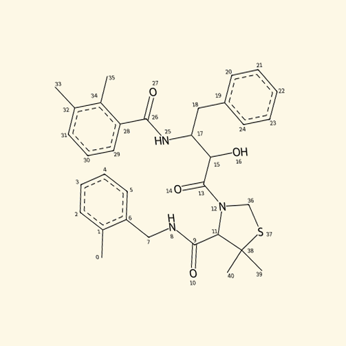 Cc1ccccc1CNC(=O)C1N(C(=O)C(O)C(Cc2ccccc2)NC(=O)c2cccc(C)c2C)CSC1(C)C